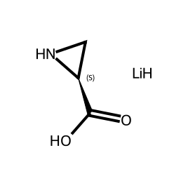 O=C(O)[C@@H]1CN1.[LiH]